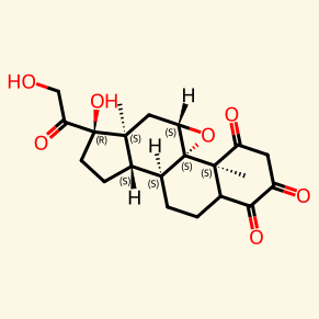 C[C@]12C(=O)CC(=O)C(=O)C1CC[C@H]1[C@@H]3CC[C@](O)(C(=O)CO)[C@@]3(C)C[C@@H]3O[C@@]312